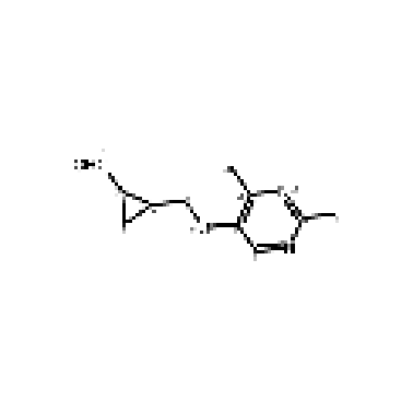 Cc1ncc(OCC2CC2C=O)c(C)n1